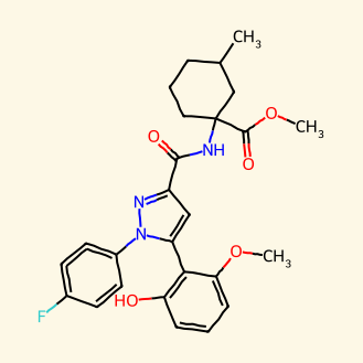 COC(=O)C1(NC(=O)c2cc(-c3c(O)cccc3OC)n(C3=C=C=C(F)C=C3)n2)CCCC(C)C1